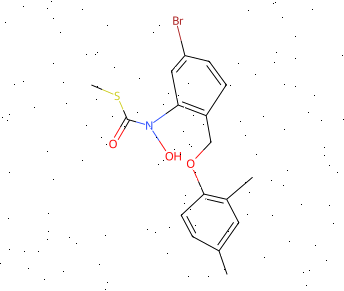 CSC(=O)N(O)c1cc(Br)ccc1COc1ccc(C)cc1C